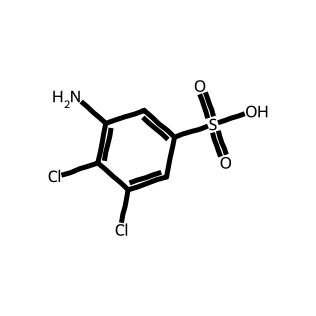 Nc1cc(S(=O)(=O)O)cc(Cl)c1Cl